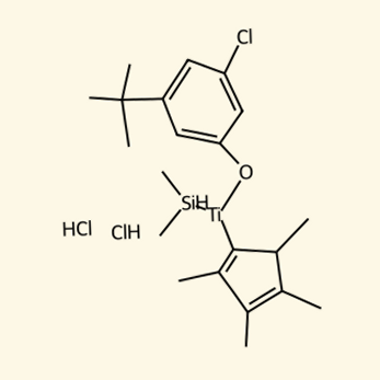 CC1=C(C)C(C)[C]([Ti]([O]c2cc(Cl)cc(C(C)(C)C)c2)[SiH](C)C)=C1C.Cl.Cl